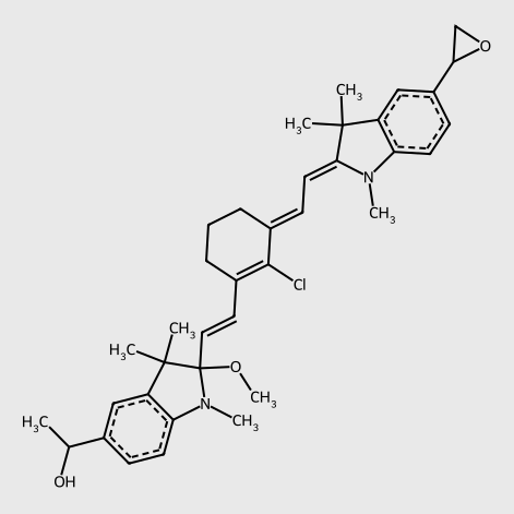 COC1(/C=C/C2=C(Cl)C(=C/C=C3\N(C)c4ccc(C5CO5)cc4C3(C)C)/CCC2)N(C)c2ccc(C(C)O)cc2C1(C)C